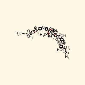 C=CCCC(CC)(c1ccc(Oc2ccc(N3C(=O)C4C5C=CC(C6C(=O)N(C(C)CCCCC)CC56)C4C3=O)cc2)cc1)C(CCCC)(C(C)C)N1C(=O)C2C3C=CC(C4C(=O)N(c5cc(C(c6ccc(O)c(C(C)(CC)CCCC)c6)(C(F)(F)F)C(F)(F)F)ccc5O)C(=O)C34)C2C1=O